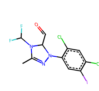 CC1=NN(c2cc(I)c(Cl)cc2Cl)C(C=O)N1C(F)F